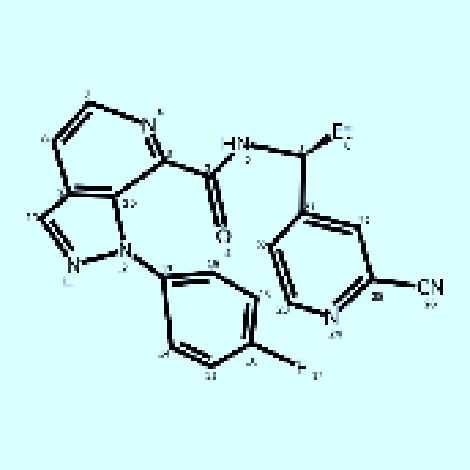 CC[C@H](NC(=O)c1nccc2cnn(-c3ccc(F)cc3)c12)c1ccnc(C#N)c1